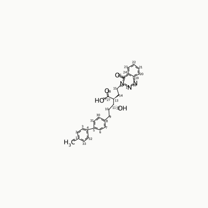 Cc1ccc(-c2ccc(CC[C@@H](O)[C@H](CCn3nnc4ccccc4c3=O)C(=O)O)cc2)cc1